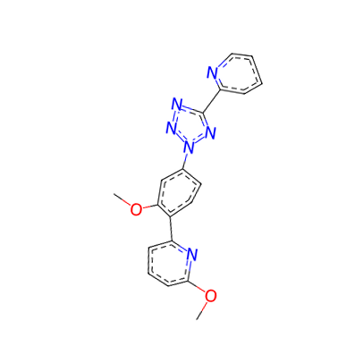 COc1cccc(-c2ccc(-n3nnc(-c4ccccn4)n3)cc2OC)n1